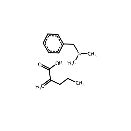 C=C(CCC)C(=O)O.CN(C)Cc1ccccc1